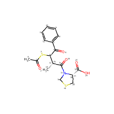 CC(=O)SC(C(=O)c1ccccc1)[C@@H](C)C(=O)N1CSC[C@H]1C(=O)O